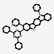 c1ccc(-c2nc(-c3ccccc3)nc(-c3cc4oc5cc6c7ccccc7n(-c7ccccc7)c6cc5c4cc3-c3cccnc3)n2)cc1